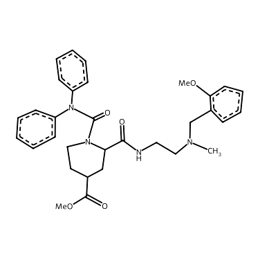 COC(=O)C1CCN(C(=O)N(c2ccccc2)c2ccccc2)C(C(=O)NCCN(C)Cc2ccccc2OC)C1